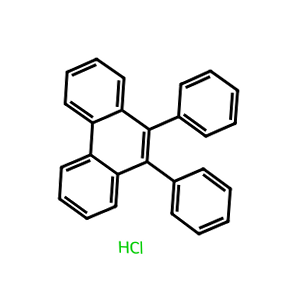 Cl.c1ccc(-c2c(-c3ccccc3)c3ccccc3c3ccccc23)cc1